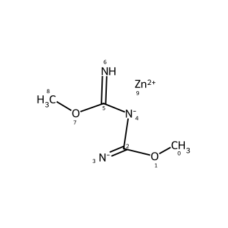 COC(=[N-])[N-]C(=N)OC.[Zn+2]